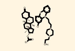 CC(=O)OCCN1CCN(CCCN2c3ccccc3Sc3ccc(Cl)cc32)CC1.CCC(=O)O[C@H]1CC[C@H]2[C@@H]3CCC4=CC(=O)CC[C@]4(C)[C@H]3CC[C@]12C